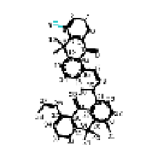 C=C1C2=C(C(F)=CCC2)C(C)(C)c2cccc(/C=C\C(C)c3ccc(C)c4c3C(=C)C3=C(CCC=C3/C=C\C)C4(C)C)c21